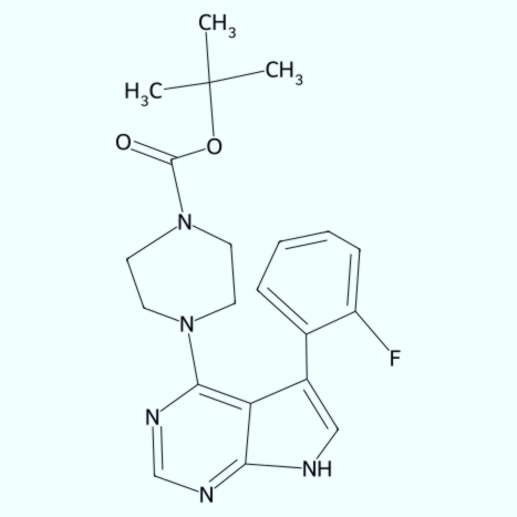 CC(C)(C)OC(=O)N1CCN(c2ncnc3[nH]cc(-c4ccccc4F)c23)CC1